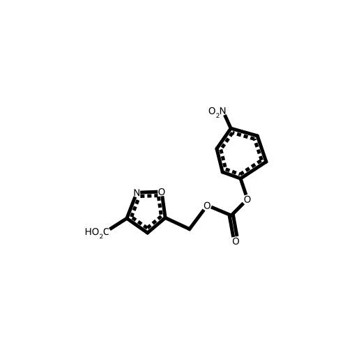 O=C(OCc1cc(C(=O)O)no1)Oc1ccc([N+](=O)[O-])cc1